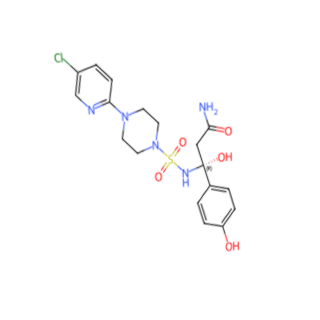 NC(=O)C[C@](O)(NS(=O)(=O)N1CCN(c2ccc(Cl)cn2)CC1)c1ccc(O)cc1